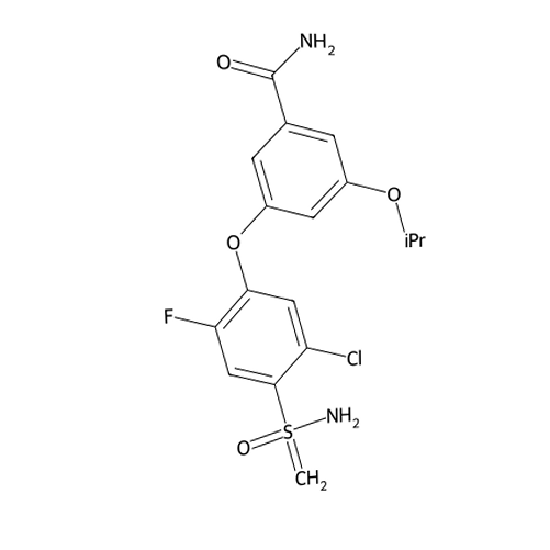 C=S(N)(=O)c1cc(F)c(Oc2cc(OC(C)C)cc(C(N)=O)c2)cc1Cl